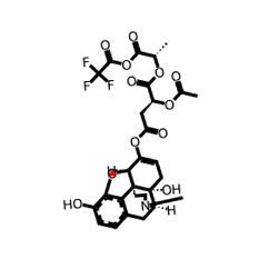 CC(=O)O[C@@H](CC(=O)OC1=CC[C@@]2(O)[C@H]3Cc4ccc(O)c5c4[C@@]2(CCN3C)[C@H]1O5)C(=O)O[C@@H](C)C(=O)OC(=O)C(F)(F)F